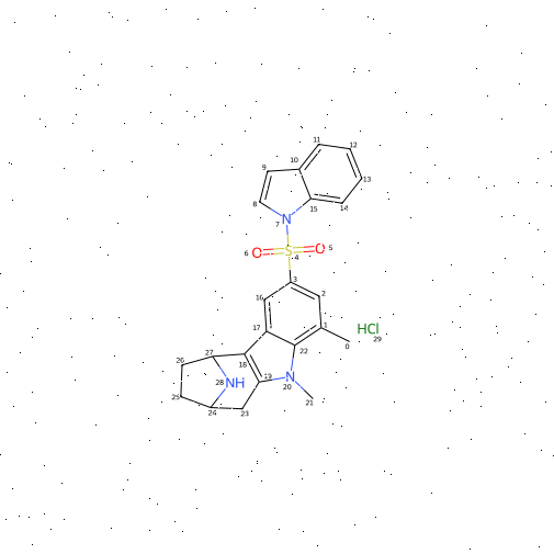 Cc1cc(S(=O)(=O)n2ccc3ccccc32)cc2c3c(n(C)c12)CC1CCC3N1.Cl